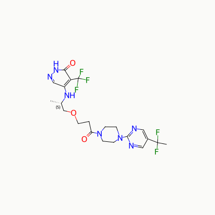 C[C@@H](COCCC(=O)N1CCN(c2ncc(C(C)(F)F)cn2)CC1)Nc1cn[nH]c(=O)c1C(F)(F)F